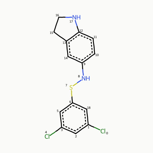 Clc1cc(Cl)cc(SNc2ccc3c(c2)CCN3)c1